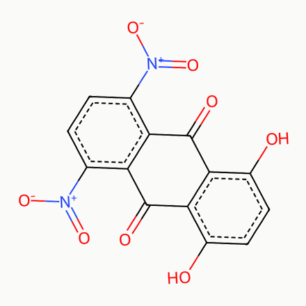 O=C1c2c(O)ccc(O)c2C(=O)c2c([N+](=O)[O-])ccc([N+](=O)[O-])c21